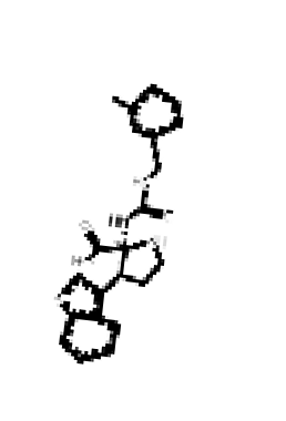 Cc1cccc(CNC(=O)N[C@]2(C(=O)O)NCCC2c2csc3ccccc23)c1